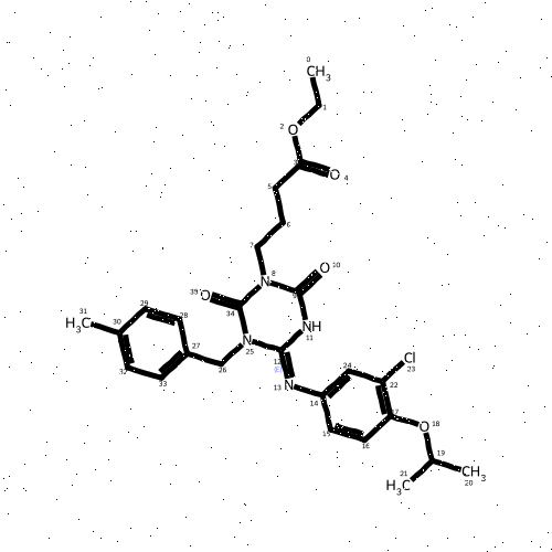 CCOC(=O)CCCn1c(=O)[nH]/c(=N\c2ccc(OC(C)C)c(Cl)c2)n(Cc2ccc(C)cc2)c1=O